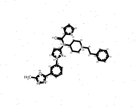 Cc1nnc(-c2cccc(-n3ccc(N(C(=O)c4cccs4)C4CCN(CCc5ccccc5)CC4)n3)c2)o1